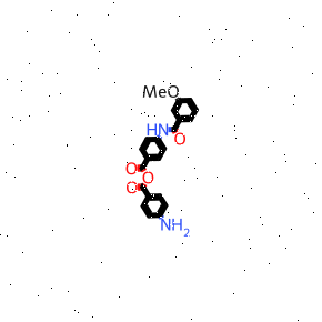 COc1cccc(C(=O)Nc2ccc(C(=O)OC(=O)c3ccc(N)cc3)cc2)c1